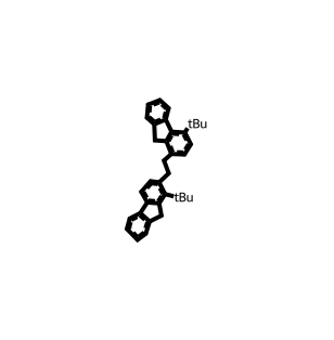 CC(C)(C)c1ccc(CCc2ccc3c(c2C(C)(C)C)Cc2ccccc2-3)c2c1-c1ccccc1C2